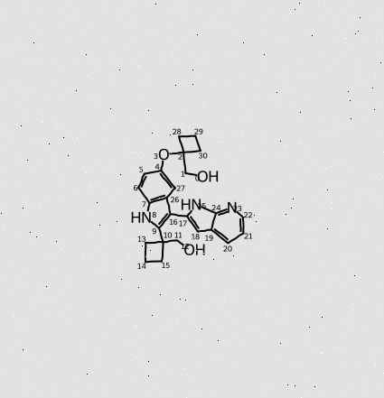 OCC1(Oc2ccc3[nH]c(C4(CO)CCC4)c(-c4cc5cccnc5[nH]4)c3c2)CCC1